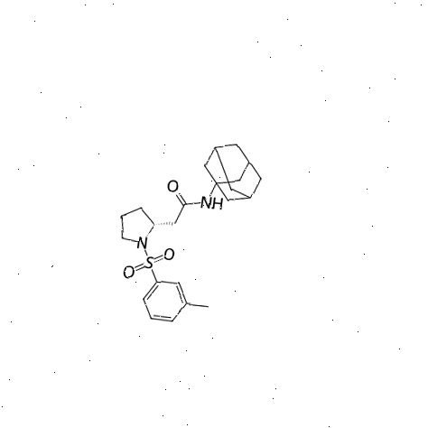 Cc1cccc(S(=O)(=O)N2CCC[C@@H]2CC(=O)NC23CC4CC(CC(C4)C2)C3)c1